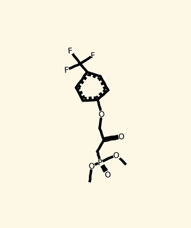 COP(=O)(CC(=O)COc1ccc(C(F)(F)F)cc1)OC